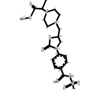 CC(C(=O)OC(C)(C)C)N1CCN(CC2CN(c3ccc(C(=N)NS(C)(=O)=O)cc3)C(=O)O2)CC1